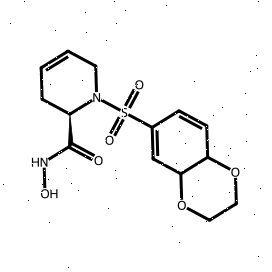 O=C(NO)[C@H]1CC=CCN1S(=O)(=O)C1=CC2OCCOC2C=C1